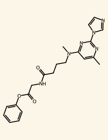 Cc1cc(N(C)CCCC(=O)NCC(=O)Oc2ccccc2)nc(-n2ccnc2)n1